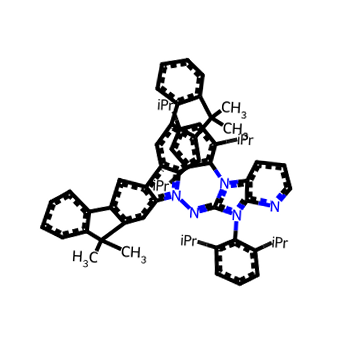 CC(C)c1cc(C(C)C)c(-n2/c(=N\n3c4cc5c(cc4c4cc6c(cc43)C(C)(C)c3ccccc3-6)-c3ccccc3C5(C)C)n(-c3c(C(C)C)cccc3C(C)C)c3ncccc32)c(C(C)C)c1